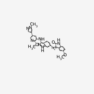 COc1ccc2c(c1)[C@]1(C[C@H]1c1ccc3c(Nc4cc(-c5cnn(C)c5)cnc4OC)n[nH]c3c1)C(=O)N2